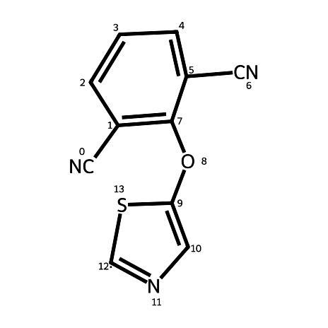 N#Cc1cccc(C#N)c1Oc1cn[c]s1